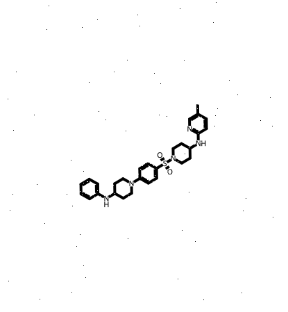 Cc1ccc(NC2CCN(S(=O)(=O)c3ccc(N4CCC(Nc5ccccc5)CC4)cc3)CC2)nc1